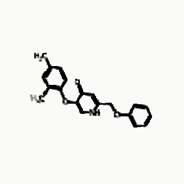 Cc1ccc(Oc2c[nH]c(COc3ccccc3)cc2=O)c(C)c1